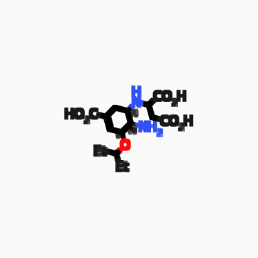 CCC(CC)O[C@H]1C=C(C(=O)O)C[C@@H](NC(CC(=O)O)C(=O)O)[C@@H]1N